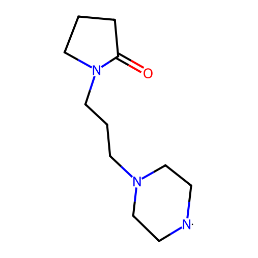 O=C1CCCN1CCCN1CC[N]CC1